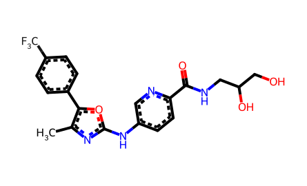 Cc1nc(Nc2ccc(C(=O)NCC(O)CO)nc2)oc1-c1ccc(C(F)(F)F)cc1